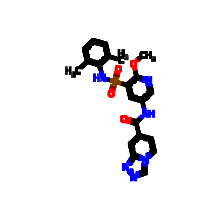 COc1ncc(NC(=O)c2ccn3cnnc3c2)cc1S(=O)(=O)Nc1c(C)cccc1C